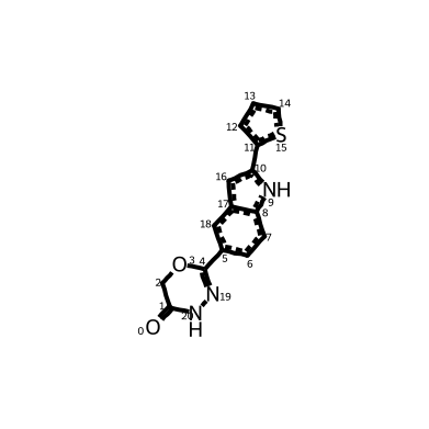 O=C1COC(c2ccc3[nH]c(-c4cccs4)cc3c2)=NN1